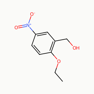 CCOc1ccc([N+](=O)[O-])cc1CO